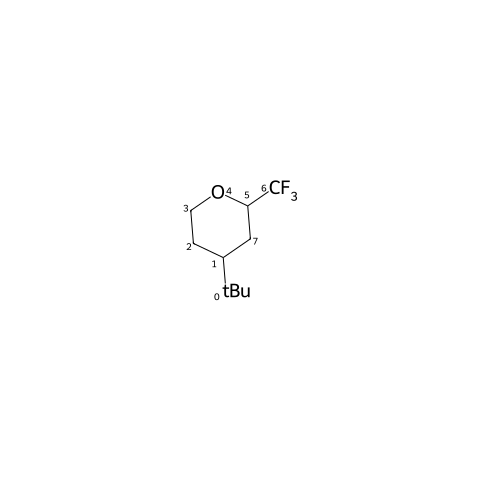 CC(C)(C)C1CCOC(C(F)(F)F)C1